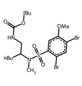 CCCCC(CNC(=O)OC(C)(C)C)N(C)S(=O)(=O)c1cc(OC)c(Br)cc1Br